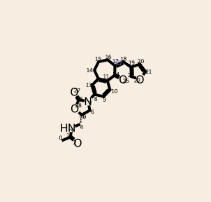 CC(=O)NC[C@H]1CN(c2ccc3c(c2)CCC/C(=C/c2ccoc2)C3=O)C(=O)O1